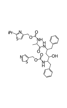 CC(NC(=O)OCc1csc(C(C)C)n1)C(=O)NC(Cc1ccccc1)CC(O)C(Cc1ccccc1)NC(=O)OCc1cncs1